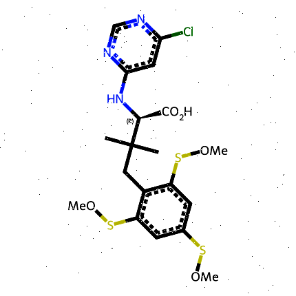 COSc1cc(SOC)c(CC(C)(C)[C@@H](Nc2cc(Cl)ncn2)C(=O)O)c(SOC)c1